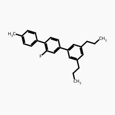 CCCc1cc(CCC)cc(-c2ccc(-c3ccc(C)cc3)c(F)c2)c1